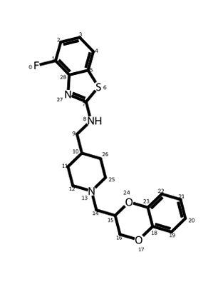 Fc1cccc2sc(NCC3CCN(CC4COc5ccccc5O4)CC3)nc12